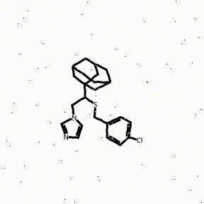 Clc1ccc(CSC(Cn2ccnc2)C23CC4CC(CC(C4)C2)C3)cc1